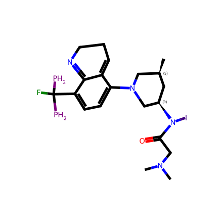 C[C@H]1C[C@@H](N(I)C(=O)CN(C)C)CN(c2ccc(C(F)(P)P)c3c2=CCCN=3)C1